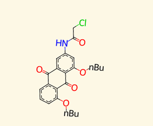 CCCCOc1cccc2c1C(=O)c1c(OCCCC)cc(NC(=O)CCl)cc1C2=O